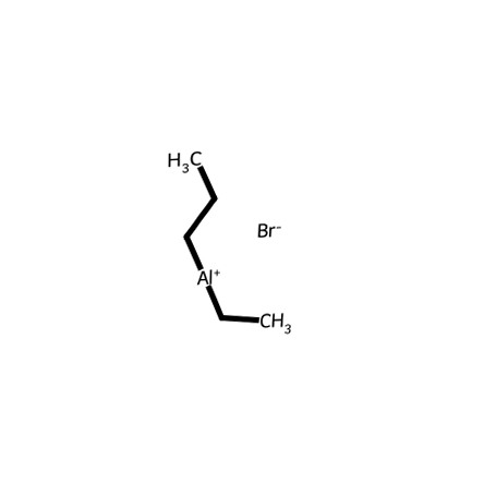 CC[CH2][Al+][CH2]C.[Br-]